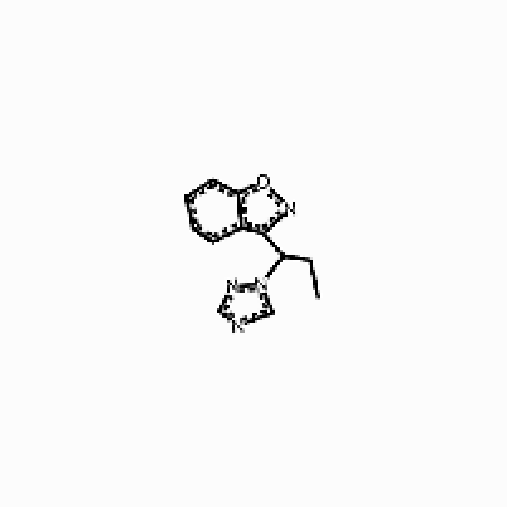 CCC(c1noc2ccccc12)n1cncn1